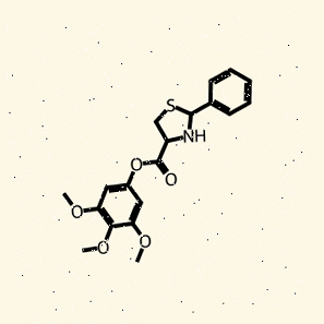 COc1cc(OC(=O)C2CSC(c3ccccc3)N2)cc(OC)c1OC